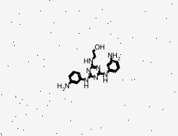 Nc1cccc(Nc2nc(NCCO)nc(Nc3cccc(N)c3)n2)c1